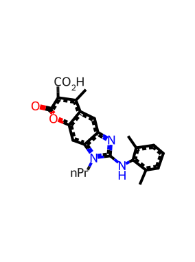 CCCn1c(Nc2c(C)cccc2C)nc2cc3c(C)c(C(=O)O)c(=O)oc3cc21